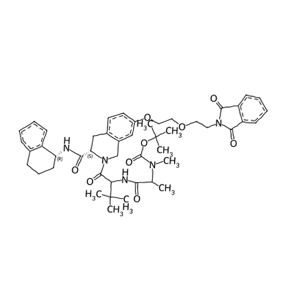 CC(C(=O)NC(C(=O)N1Cc2cc(OCCOCCN3C(=O)c4ccccc4C3=O)ccc2C[C@H]1C(=O)N[C@@H]1CCCc2ccccc21)C(C)(C)C)N(C)C(=O)OC(C)(C)C